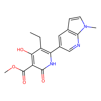 CCc1c(-c2cnc3c(ccn3C)c2)[nH]c(=O)c(C(=O)OC)c1O